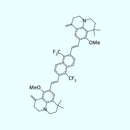 C=C1CCN2CCC(C)(C)c3c(OC)c(C=Cc4ccc5c(C(F)(F)F)c(C=Cc6cc7c8c(c6OC)C(=C)CCN8CCC7(C)C)ccc5c4C(F)(F)F)cc1c32